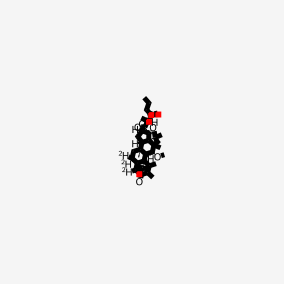 [2H]C1=C2C([2H])([2H])C[C@]3(C)[C@H]([C@@H](OC)C(C)(C)[C@@]4(C(C)(C)C)[C@H]3C[C@H]3OC(C(C)CCC)O[C@]34C(=O)C([2H])(C)OC)[C@@]2(C(C)(C)C)C(C)=C(C)C1=O